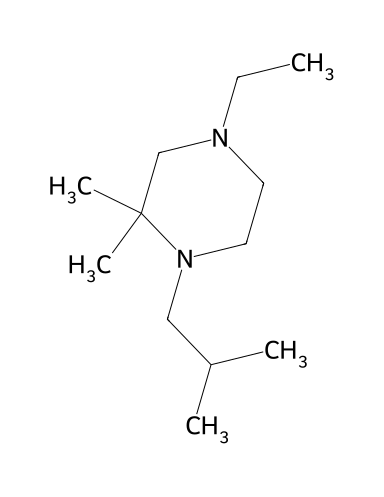 CCN1CCN(CC(C)C)C(C)(C)C1